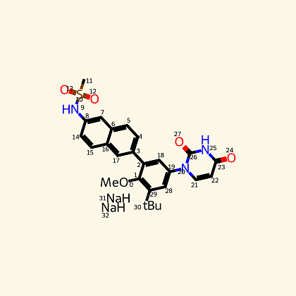 COc1c(-c2ccc3cc(NS(C)(=O)=O)ccc3c2)cc(-n2ccc(=O)[nH]c2=O)cc1C(C)(C)C.[NaH].[NaH]